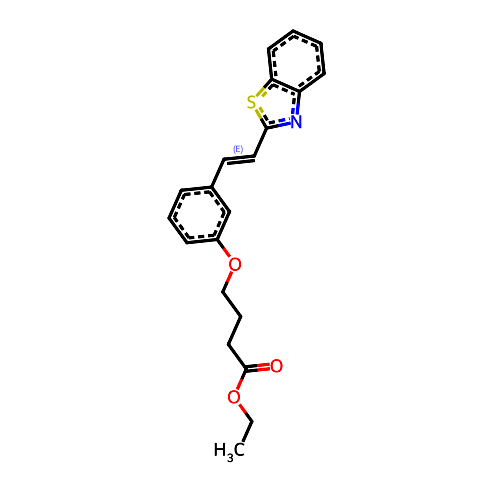 CCOC(=O)CCCOc1cccc(/C=C/c2nc3ccccc3s2)c1